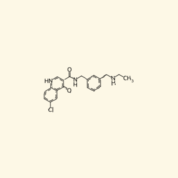 CCNCc1cccc(CNC(=O)c2c[nH]c3ccc(Cl)cc3c2=O)c1